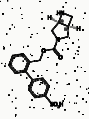 O=C(OCc1ccccc1-c1ccc(S(=O)(=O)O)cc1)N1C[C@@H]2CN[C@@H]2C1